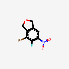 O=[N+]([O-])c1cc2c(c(Br)c1F)COC2